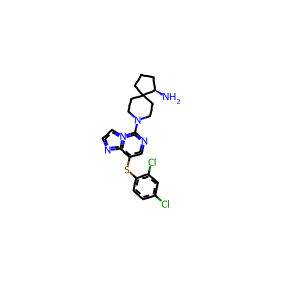 N[C@@H]1CCCC12CCN(c1ncc(Sc3ccc(Cl)cc3Cl)c3nccn13)CC2